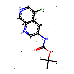 CC(C)(C)OC(=O)Nc1cnc2cncc(Br)c2c1